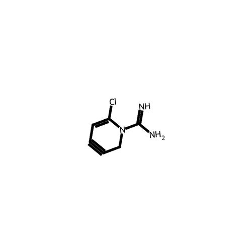 N=C(N)N1CC#CC=C1Cl